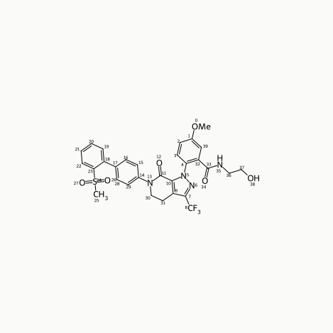 COc1ccc(-n2nc(C(F)(F)F)c3c2C(=O)N(c2ccc(-c4ccccc4S(C)(=O)=O)cc2)CC3)c(C(=O)NCCO)c1